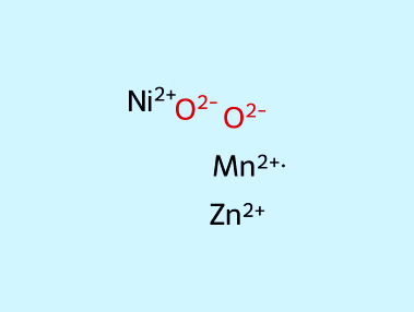 [Mn+2].[Ni+2].[O-2].[O-2].[Zn+2]